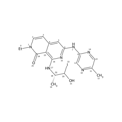 CCn1ccc2cc(Nc3cnc(C)cn3)nc(N[C@@H](C)C(O)I)c2c1=O